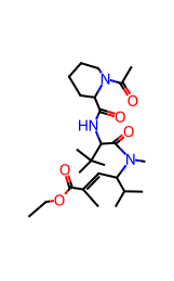 CCOC(=O)/C(C)=C/C(C(C)C)N(C)C(=O)C(NC(=O)C1CCCCN1C(C)=O)C(C)(C)C